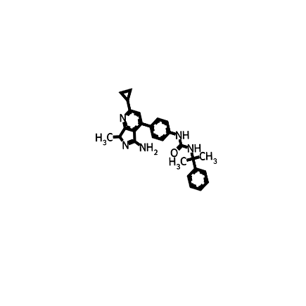 CC1N=C(N)c2c(-c3ccc(NC(=O)NC(C)(C)c4ccccc4)cc3)cc(C3CC3)nc21